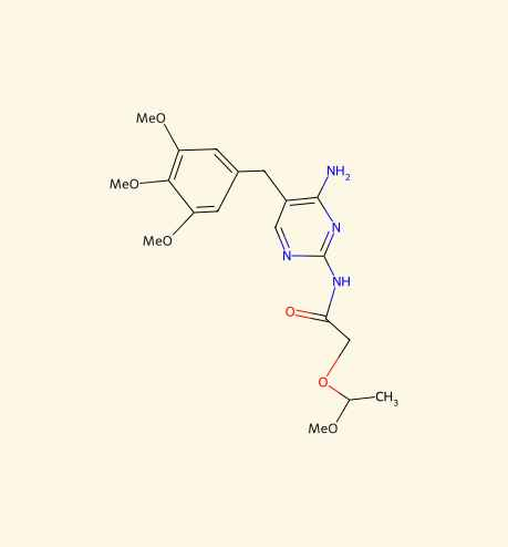 COc1cc(Cc2cnc(NC(=O)COC(C)OC)nc2N)cc(OC)c1OC